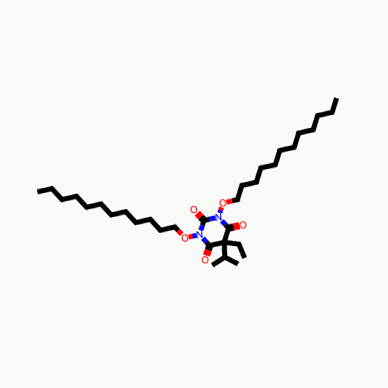 CCCCCCCCCCCCON1C(=O)N(OCCCCCCCCCCCC)C(=O)C(CC)(C(C)C)C1=O